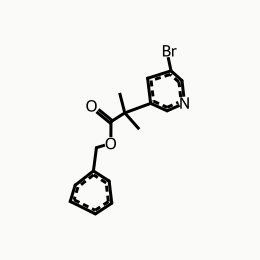 CC(C)(C(=O)OCc1ccccc1)c1cncc(Br)c1